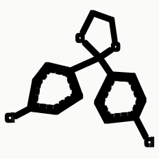 Clc1ccc(C2(c3ccc(Cl)cc3)OCCO2)cc1